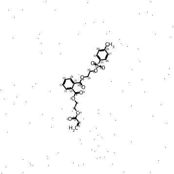 C=CC(=O)OCCOC(=O)c1ccccc1C(=O)OCCOS(=O)(=O)c1ccc(C)cc1